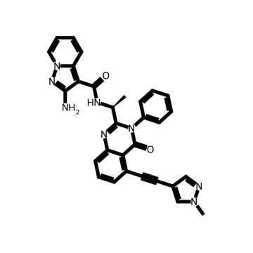 C[C@H](NC(=O)c1c(N)nn2ccccc12)c1nc2cccc(C#Cc3cnn(C)c3)c2c(=O)n1-c1ccccc1